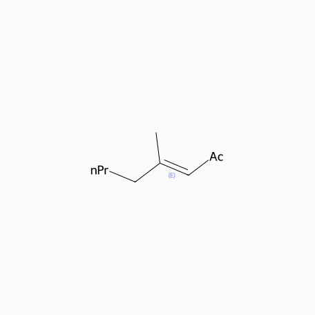 CCCC/C(C)=C/C(C)=O